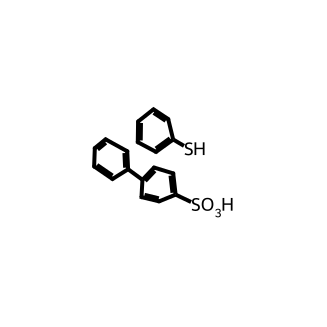 O=S(=O)(O)c1ccc(-c2ccccc2)cc1.Sc1ccccc1